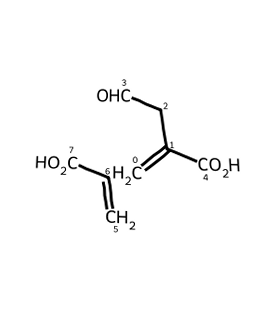 C=C(CC=O)C(=O)O.C=CC(=O)O